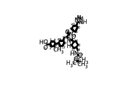 Cc1cc(C(=O)O)ccc1-c1cccc(C[C@H](NC(=O)C2CCC(CNC(=O)OC(C)(C)C)CC2)C(=O)Nc2ccc(-c3nnn[nH]3)cc2)c1